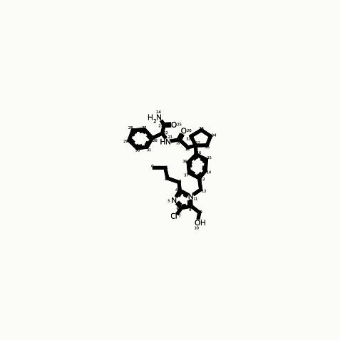 CCCCc1nc(Cl)c(CO)n1Cc1ccc(C2(CC(=O)NC(C(N)=O)c3ccccc3)CCCC2)cc1